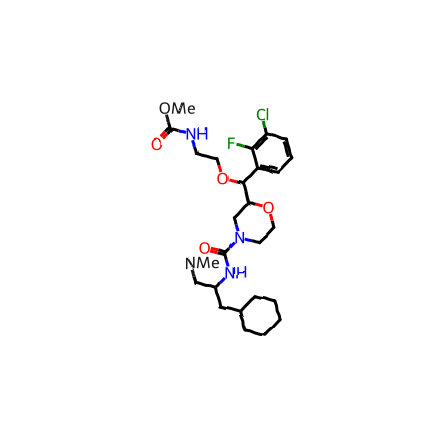 CNCC(CC1CCCCC1)NC(=O)N1CCOC(C(OCCNC(=O)OC)c2cccc(Cl)c2F)C1